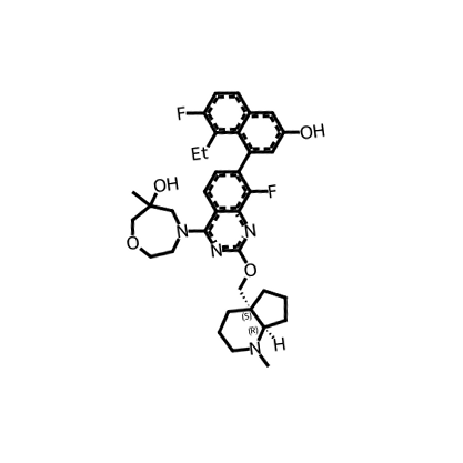 CCc1c(F)ccc2cc(O)cc(-c3ccc4c(N5CCOCC(C)(O)C5)nc(OC[C@]56CCC[C@H]5N(C)CCC6)nc4c3F)c12